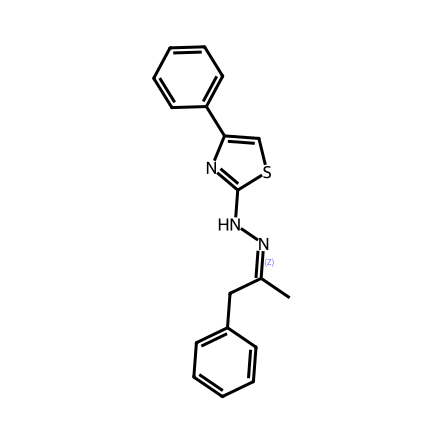 C/C(Cc1ccccc1)=N/Nc1nc(-c2ccccc2)cs1